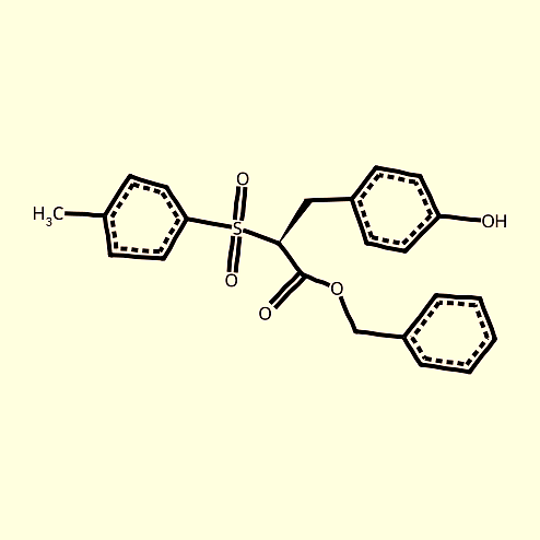 Cc1ccc(S(=O)(=O)[C@@H](Cc2ccc(O)cc2)C(=O)OCc2ccccc2)cc1